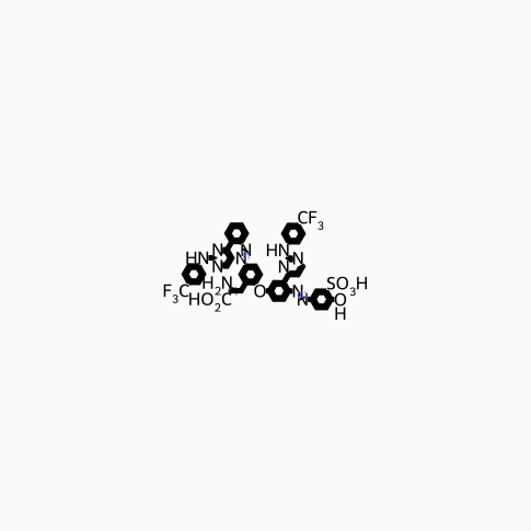 N[C@H](Cc1cc(/N=N/c2ccccc2-c2ccnc(Nc3ccc(C(F)(F)F)cc3)n2)ccc1Oc1ccc(/N=N/c2ccc(O)c(S(=O)(=O)O)c2)c(-c2ccnc(Nc3ccc(C(F)(F)F)cc3)n2)c1)C(=O)O